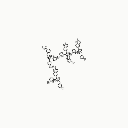 COc1ccc(-c2nc(Cc3cccc(C(F)(F)F)c3)[nH]c2-c2cccc(C)n2)cc1.Cc1ccc2cc(-c3nc(Cc4cccc(Br)c4)[nH]c3-c3cccc(Br)n3)ccc2n1.Cc1ccc2cc(-c3nc(Cc4cccc(Cl)c4)[nH]c3-c3cccc(Br)n3)ccc2n1.Cc1ccc2cc(-c3nc(Cc4cccc(F)c4)[nH]c3-c3cccc(Br)n3)ccc2n1